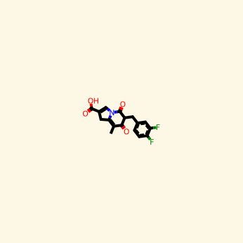 CC1=C2CC(C(=O)O)=CN2C(=O)C(Cc2ccc(F)c(F)c2)C1=O